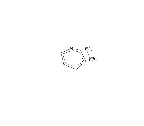 CCCCP.c1ccncc1